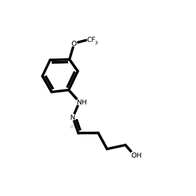 OCCC/C=N\Nc1cccc(OC(F)(F)F)c1